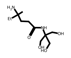 CCC(C)(N)CCC(=O)NC(CO)(CO)CO